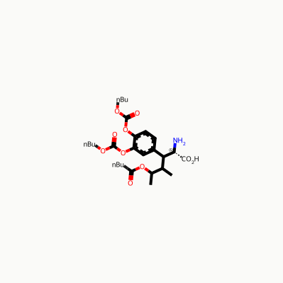 CCCCOC(=O)Oc1ccc(C(C(C)C(C)OC(=O)CCCC)[C@H](N)C(=O)O)cc1OC(=O)OCCCC